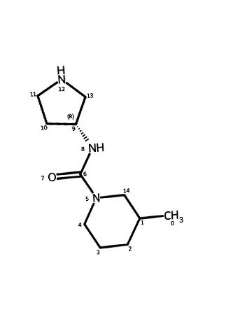 CC1CCCN(C(=O)N[C@@H]2CCNC2)C1